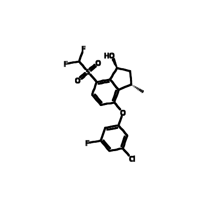 C[C@H]1C[C@H](O)c2c(S(=O)(=O)C(F)F)ccc(Oc3cc(F)cc(Cl)c3)c21